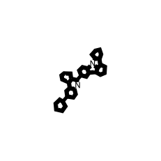 c1ccc(-c2ccc3nc(-c4ccc5c(c4)c4cccc6c7ccccc7n5c64)c4ccccc4c3c2)cc1